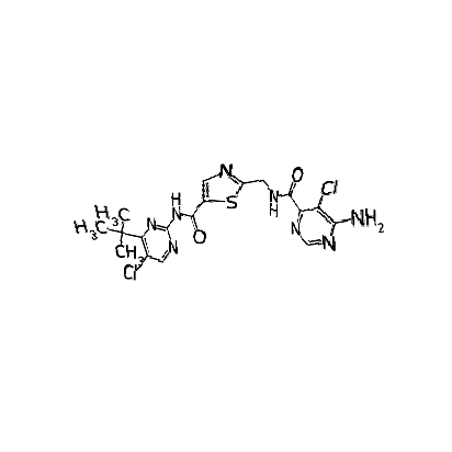 CC(C)(C)c1nc(NC(=O)c2cnc(CNC(=O)c3ncnc(N)c3Cl)s2)ncc1Cl